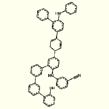 N#Cc1cccc(Nc2ccc(C3C=CC(c4ccc(Nc5ccccc5)c(-c5ccccc5)c4)=CC3)cc2-c2cccc(-c3cccc(-c4ccccc4O)c3)c2)c1